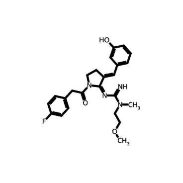 COCCN(C)C(=N)/N=C1\C(=C\c2cccc(O)c2)CCN1C(=O)Cc1ccc(F)cc1